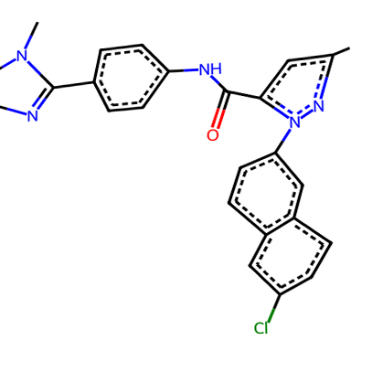 Cc1cc(C(=O)Nc2ccc(C3=NCCN3C)cc2)n(-c2ccc3cc(Cl)ccc3c2)n1